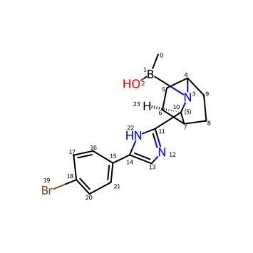 CB(O)N1C2CCC(CC2)[C@H]1c1ncc(-c2ccc(Br)cc2)[nH]1